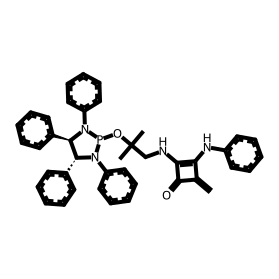 C=C1C(=O)C(NCC(C)(C)OP2N(c3ccccc3)[C@H](c3ccccc3)[C@@H](c3ccccc3)N2c2ccccc2)=C1Nc1ccccc1